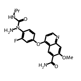 COc1cc2nccc(Oc3ccc(N(N)C(=O)NC(C)C)c(F)c3)c2cc1C(N)=O